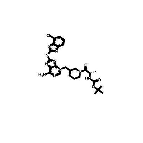 C[C@H](NC(=O)OC(C)(C)C)C(=O)N1CCCC(Cn2cnc(N)c3nc(Sc4nc5cccc(Cl)c5s4)nc2-3)C1